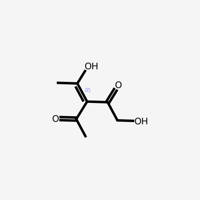 CC(=O)/C(C(=O)CO)=C(\C)O